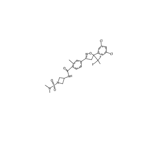 Cc1cc(C2=NOC(c3cc(Cl)cc(Cl)c3)(C(C)(F)F)C2)ccc1C(=O)NC1CN(S(=O)(=O)N(C)C)C1